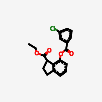 CCOC(=O)C1CCc2cccc(OC(=O)c3cccc(Cl)c3)c21